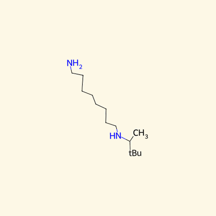 CC(NCCCCCCCCN)C(C)(C)C